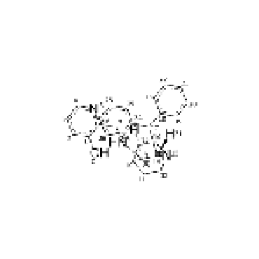 Oc1cccnc1CN[C@@H]1C2CCN(CC2)[C@H]1C(c1ccccc1)c1ccccc1